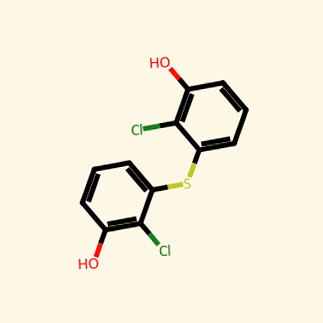 Oc1cccc(Sc2cccc(O)c2Cl)c1Cl